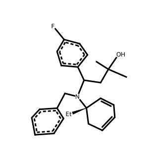 CC[C@@]1(N(Cc2ccccc2)C(CC(C)(C)O)c2ccc(F)cc2)C=CC=CC1